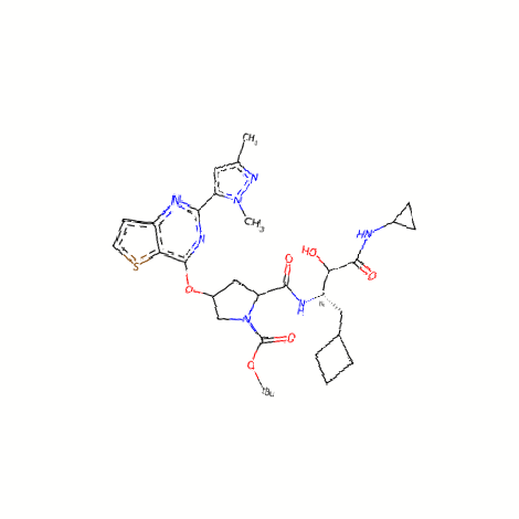 Cc1cc(-c2nc(OC3CC(C(=O)N[C@@H](CC4CCC4)C(O)C(=O)NC4CC4)N(C(=O)OC(C)(C)C)C3)c3sccc3n2)n(C)n1